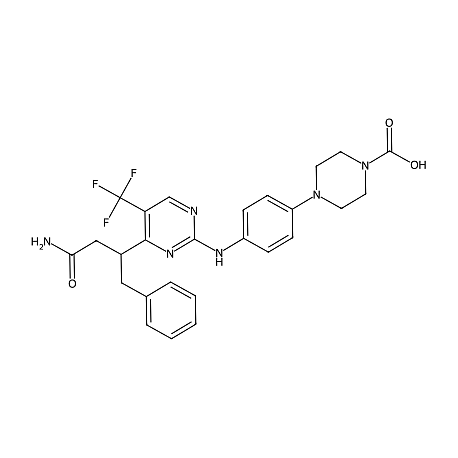 NC(=O)CC(Cc1ccccc1)c1nc(Nc2ccc(N3CCN(C(=O)O)CC3)cc2)ncc1C(F)(F)F